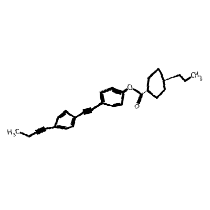 CCC#Cc1ccc(C#Cc2ccc(OC(=O)[C@H]3CC[C@H](CCC)CC3)cc2)cc1